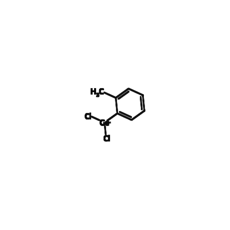 Cc1cccc[c]1[Ge]([Cl])[Cl]